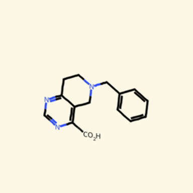 O=C(O)c1ncnc2c1CN(Cc1ccccc1)CC2